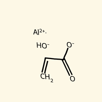 C=CC(=O)[O-].[Al+2].[OH-]